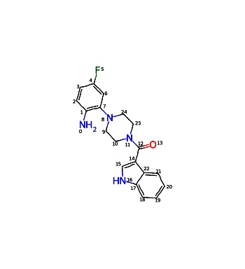 Nc1ccc(F)cc1N1CCN(C(=O)c2c[nH]c3ccccc23)CC1